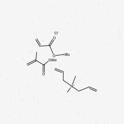 C=C(C)C(=O)OC.C=CC(=O)OCCCC.C=CC[N+](C)(C)CC=C.[Cl-]